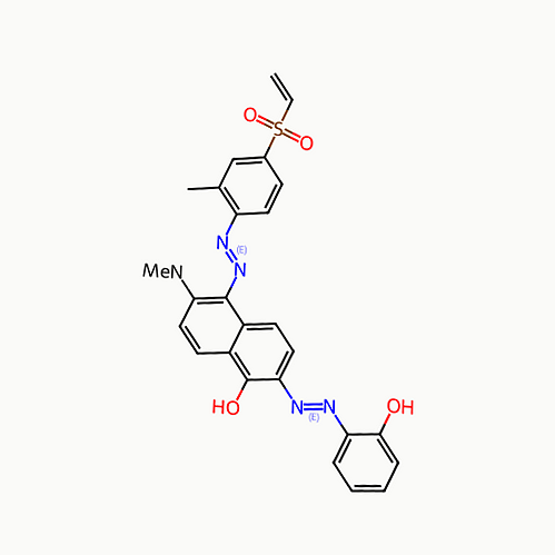 C=CS(=O)(=O)c1ccc(/N=N/c2c(NC)ccc3c(O)c(/N=N/c4ccccc4O)ccc23)c(C)c1